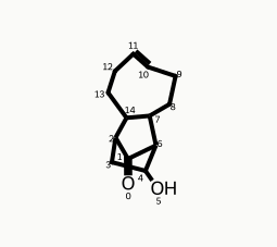 O=C1C2CC(O)C1C1CC/C=C/CCC21